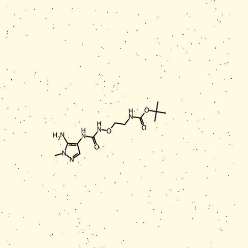 Cn1ncc(NC(=O)NOCCNC(=O)OC(C)(C)C)c1N